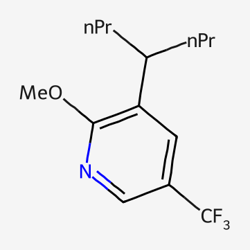 CCCC(CCC)c1cc(C(F)(F)F)cnc1OC